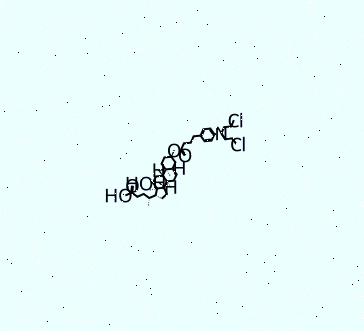 C[C@H](CCC(=O)O)[C@H]1CC[C@H]2[C@@H]3CC[C@@H]4C[C@H](OC(=O)CCCc5ccc(N(CCCl)CCCl)cc5)CC[C@]4(C)[C@H]3C[C@H](O)[C@]12C